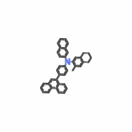 Cc1cc2c(cc1N(c1ccc(-c3cc4ccccc4c4ccccc34)cc1)c1ccc3ccccc3c1)CCCC2